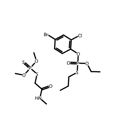 CCCSP(=O)(OCC)Oc1ccc(Br)cc1Cl.CNC(=O)CSP(=S)(OC)OC